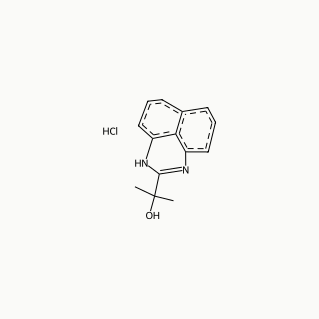 CC(C)(O)C1=Nc2cccc3cccc(c23)N1.Cl